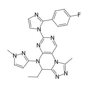 CCC1c2nnc(C)n2-c2cnc(-n3ccnc3-c3ccc(F)cc3)nc2N1c1ccn(C)n1